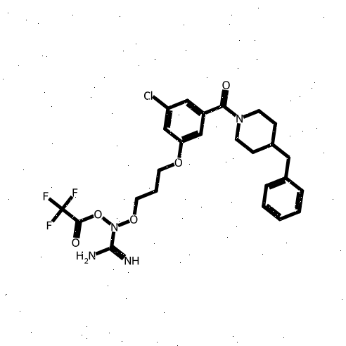 N=C(N)N(OCCCOc1cc(Cl)cc(C(=O)N2CCC(Cc3ccccc3)CC2)c1)OC(=O)C(F)(F)F